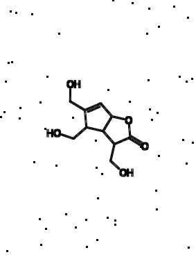 O=C1OC2C=C(CO)C(CO)C2C1CO